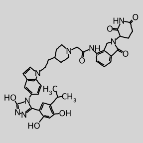 CC(C)c1cc(-c2nnc(O)n2-c2ccc3c(ccn3CCC3CCN(CC(=O)Nc4cccc5c4CN(C4CCC(=O)NC4=O)C5=O)CC3)c2)c(O)cc1O